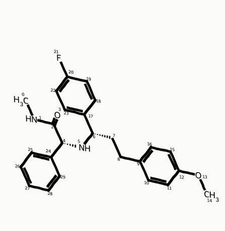 CNC(=O)[C@H](N[C@@H](CCc1ccc(OC)cc1)c1ccc(F)cc1)c1ccccc1